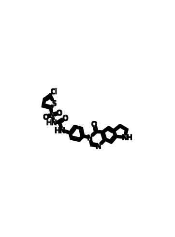 O=C(Nc1ccc(-n2cnc3cc4c(cc3c2=O)CCN4)cc1)NS(=O)(=O)c1ccc(Cl)s1